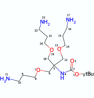 CC(C)(C)OC(=O)NC(COCCCN)(COCCCN)COCCCN